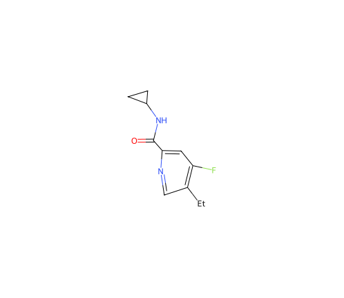 CCc1cnc(C(=O)NC2CC2)cc1F